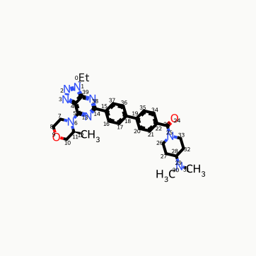 CCn1nnc2c(N3CCOC[C@@H]3C)nc(-c3[c]cc(-c4ccc(C(=O)N5CCC(N(C)C)CC5)cc4)cc3)nc21